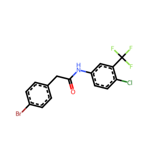 O=C(Cc1ccc(Br)cc1)Nc1ccc(Cl)c(C(F)(F)F)c1